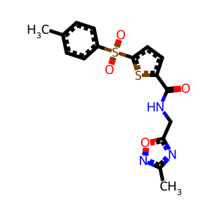 Cc1ccc(S(=O)(=O)c2ccc(C(=O)NCc3nc(C)no3)s2)cc1